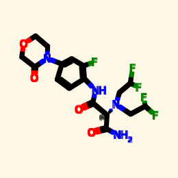 NC(=O)[C@H](C(=O)Nc1ccc(N2CCOCC2=O)cc1F)N(CC(F)F)CC(F)F